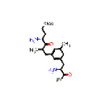 CSCC[C@H](N)C(=O)C(C)CC1=CC(C)CC(C[C@H](N)C(=O)C(C)C)=C1